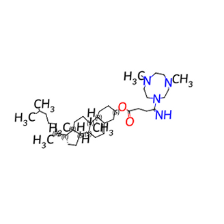 CC(C)CCC[C@@H](C)[C@H]1CC[C@H]2[C@@H]3CC=C4C[C@@H](OC(=O)CCC(=N)N5CCN(C)CCN(C)CC5)CC[C@]4(C)[C@H]3CC[C@]12C